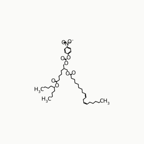 CCCCC/C=C\C/C=C\CCCCCCCC(=O)OCC(CCCCC(=O)OC(CCCC)CCCC)COC(=O)Oc1ccc([N+](=O)[O-])cc1